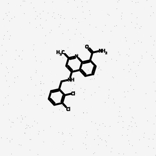 Cc1cc(NCc2cccc(Cl)c2Cl)c2cccc(C(N)=O)c2n1